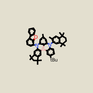 Cc1cc2c3c(c1)N(c1cccc4c1oc1ccccc14)c1cc4c(cc1B3c1cc(C(C)(C)C)ccc1N2c1cc2c(cc1C)C(C)(C)CCC2(C)C)C(C)(C)CC4(C)C